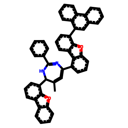 CC1=C=C(c2cccc3oc4c(-c5cc6ccccc6c6ccccc56)cccc4c23)N=C(c2ccccc2)NC1c1cccc2c1oc1ccccc12